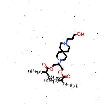 CCCCCCCC(CCCCCCC)C(=O)OCC(COC(=O)C(CCCCCCC)CCCCCCC)N1CCC2(CCN(CCCO)CC2)CC1